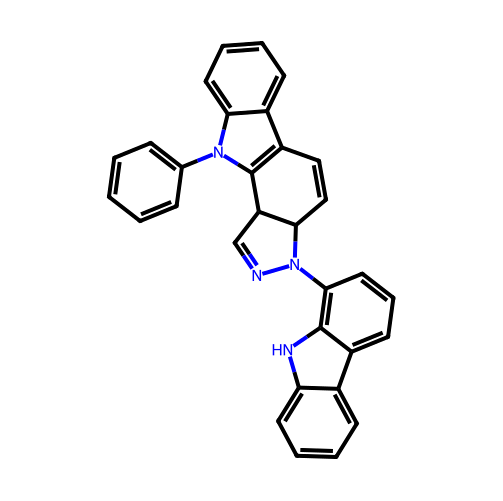 C1=CC2C(C=NN2c2cccc3c2[nH]c2ccccc23)c2c1c1ccccc1n2-c1ccccc1